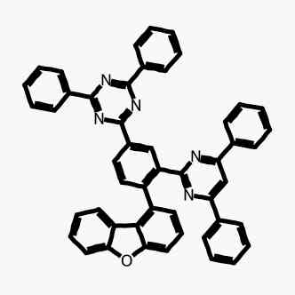 c1ccc(-c2cc(-c3ccccc3)nc(-c3cc(-c4nc(-c5ccccc5)nc(-c5ccccc5)n4)ccc3-c3cccc4oc5ccccc5c34)n2)cc1